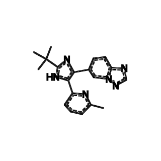 Cc1cccc(-c2[nH]c(C(C)(C)C)nc2-c2ccc3ncnn3c2)n1